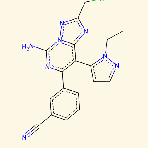 CCn1nccc1-c1c(-c2cccc(C#N)c2)nc(N)n2nc(CCl)nc12